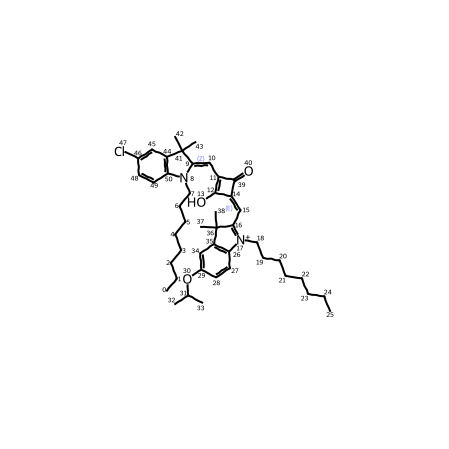 CCCCCCCCN1/C(=C\C2=C(O)C(=C\C3=[N+](CCCCCCCC)c4ccc(OC(C)C)cc4C3(C)C)/C2=O)C(C)(C)c2cc(Cl)ccc21